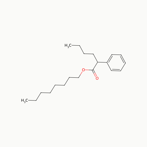 CCCCCCCCOC(=O)C(CCCC)c1ccccc1